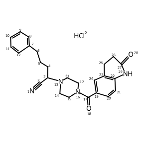 Cl.N#CC(CCCc1ccccc1)N1CCN(C(=O)c2ccc3c(c2)CCC(=O)N3)CC1